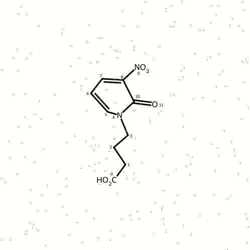 O=C(O)CCCn1cccc([N+](=O)[O-])c1=O